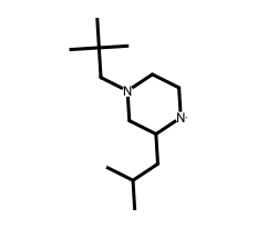 CC(C)CC1CN(CC(C)(C)C)CC[N]1